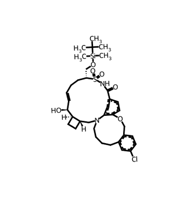 CC(C)(C)[Si](C)(C)OC[C@H]1CC/C=C/[C@H](O)[C@@H]2CC[C@H]2CN2CCCCc3cc(Cl)ccc3COc3ccc(cc32)C(=O)NS1(=O)=O